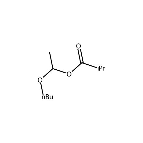 CCCCOC(C)OC(=O)C(C)C